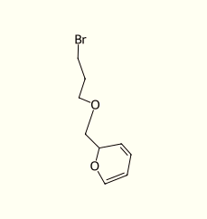 BrCCCOCC1C=CC=CO1